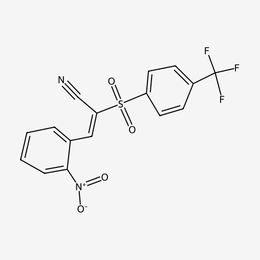 N#CC(=Cc1ccccc1[N+](=O)[O-])S(=O)(=O)c1ccc(C(F)(F)F)cc1